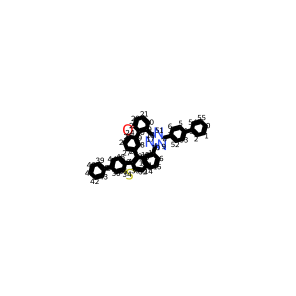 c1ccc(-c2ccc(-c3nc(-c4ccccc4)nc(-c4cccc5oc6ccc(-c7cccc8sc9cc(-c%10ccccc%10)ccc9c78)cc6c45)n3)cc2)cc1